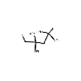 CCCC(C)(CCC)CC(CF)(CCC)CCC